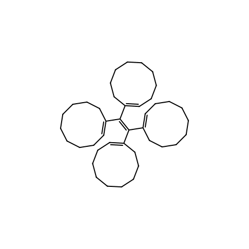 C1=C(C(C2=CCCCCCCCC2)=C(C2=CCCCCCCCC2)C2=CCCCCCCCC2)CCCCCCCC1